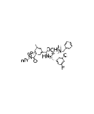 CCCN(CCC)C(=O)c1cc(C)cc(C(=O)N[C@@H](Cc2cc(F)cc(Cl)c2)[C@H](O)CNCc2ccccc2)c1